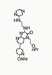 CCCOCCn1c(=O)c(NCCNc2cnccn2)nc2ncc(-c3ccc(OC)nc3)cc21